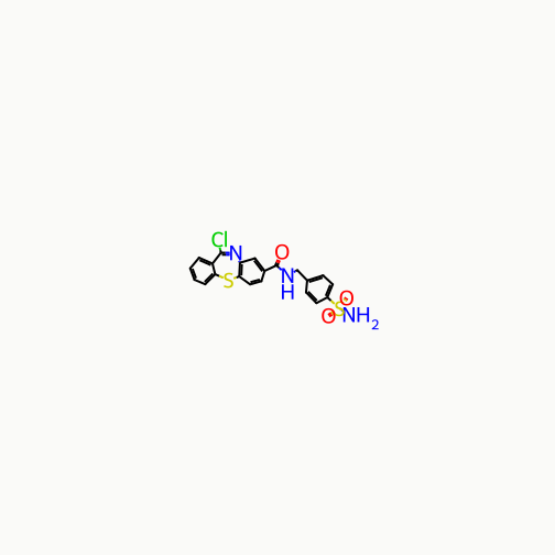 NS(=O)(=O)c1ccc(CNC(=O)c2ccc3c(c2)N=C(Cl)c2ccccc2S3)cc1